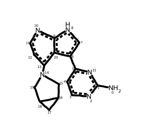 Nc1nccc(-c2c[nH]c3nccc(N4CC5CC5C4)c23)n1